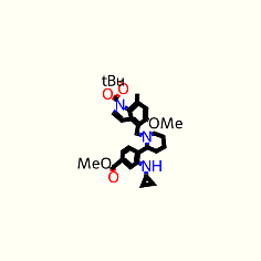 COC(=O)c1ccc(C2CCCCN2Cc2c(OC)cc(C)c3c2ccn3C(=O)OC(C)(C)C)c(NC2CC2)c1